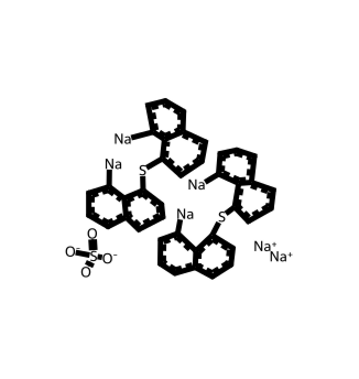 O=S(=O)([O-])[O-].[Na+].[Na+].[Na][c]1cccc2cccc(Sc3cccc4ccc[c]([Na])c34)c12.[Na][c]1cccc2cccc(Sc3cccc4ccc[c]([Na])c34)c12